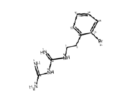 N=C(N)NC(=N)NCCc1ccccc1Br